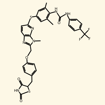 Cc1cc(Sc2ccc3nc(COc4ccc(CC5SC(=O)NC5=O)cc4)n(C)c3n2)cc(C)c1NC(=O)Nc1ccc(C(F)(F)F)cc1